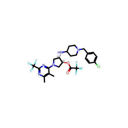 Cc1nc(C(F)(F)F)nc(N2C[C@H](NC3CCN(Cc4ccc(Cl)cc4)CC3)[C@@H](OC(=O)C(F)(F)F)C2)c1C